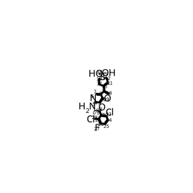 C[C@@H](Oc1c(N)ncc2c(C3=CCS(O)(O)CC3)coc12)c1c(Cl)ccc(F)c1Cl